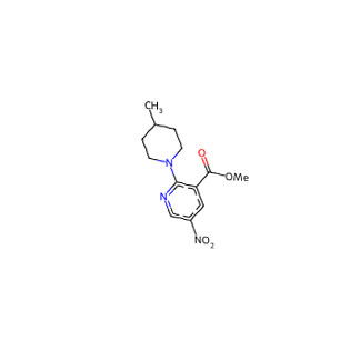 COC(=O)c1cc([N+](=O)[O-])cnc1N1CCC(C)CC1